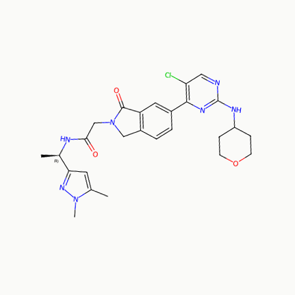 Cc1cc([C@@H](C)NC(=O)CN2Cc3ccc(-c4nc(NC5CCOCC5)ncc4Cl)cc3C2=O)nn1C